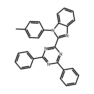 Cc1ccc(-n2c(-c3nc(-c4ccccc4)nc(-c4ccccc4)n3)nc3ccccc32)cc1